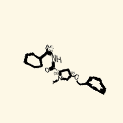 CC(=O)[C@@H](NC(=O)[C@@H]1C[C@@H](OCc2ccccc2)CN1I)C1CCCCC1